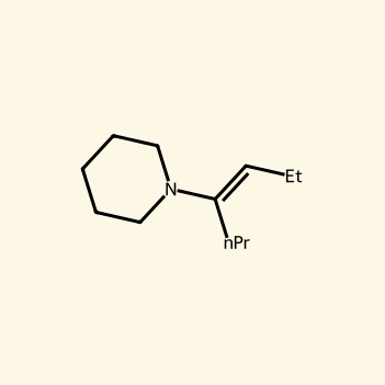 CCC=C(CCC)N1CCCCC1